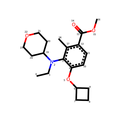 CCN(c1c(OC2CCC2)ccc(C(=O)OC)c1C)C1CCOCC1